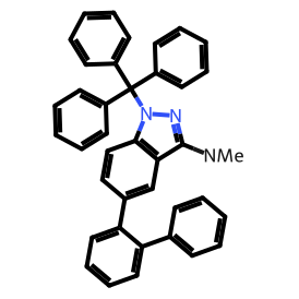 CNc1nn(C(c2ccccc2)(c2ccccc2)c2ccccc2)c2ccc(-c3ccccc3-c3ccccc3)cc12